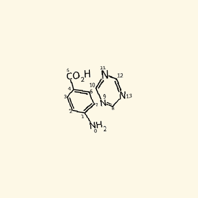 Nc1ccc(C(=O)O)cc1.c1ncncn1